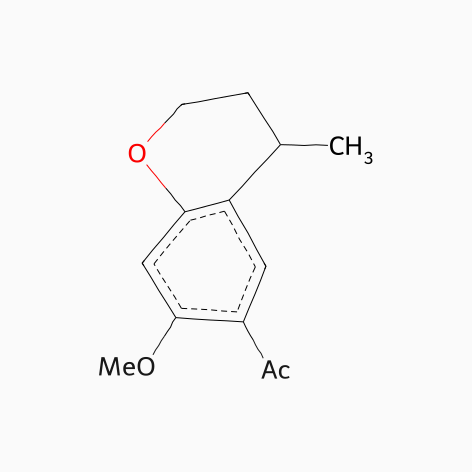 COc1cc2c(cc1C(C)=O)C(C)CCO2